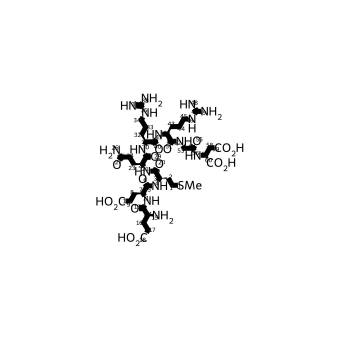 CSCC[C@H](NC(=O)[C@H](CCC(=O)O)NC(=O)[C@@H](N)CCC(=O)O)C(=O)N[C@@H](CCC(N)=O)C(=O)N[C@@H](CCCNC(=N)N)C(=O)N[C@@H](CCCNC(=N)N)C(=O)NCC(=O)N[C@@H](CC(=O)O)C(=O)O